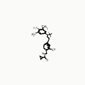 Cc1cc(C(/C=C/c2ccc(CNC(=O)C3CC3)c(Cl)c2)C(F)(F)F)cc(C)c1C